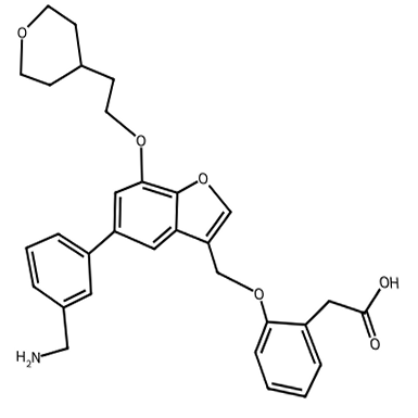 NCc1cccc(-c2cc(OCCC3CCOCC3)c3occ(COc4ccccc4CC(=O)O)c3c2)c1